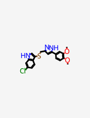 COc1ccc(-c2cc(CSc3c[nH]c4cc(Cl)ccc34)n[nH]2)cc1OC